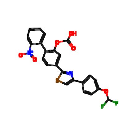 O=C(O)Oc1cc(-c2nc(-c3ccc(OC(F)F)cc3)cs2)ccc1-c1ccccc1[N+](=O)[O-]